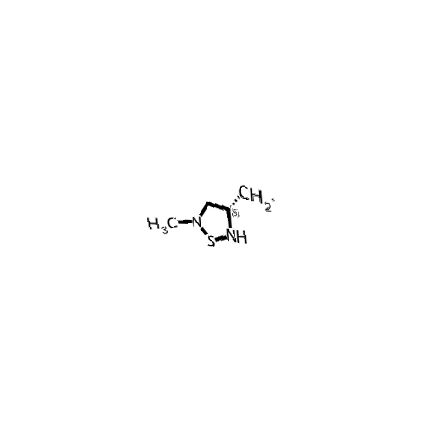 [CH2][C@H]1CN(C)SN1